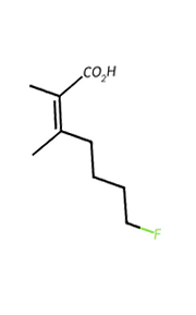 CC(CCCCF)=C(C)C(=O)O